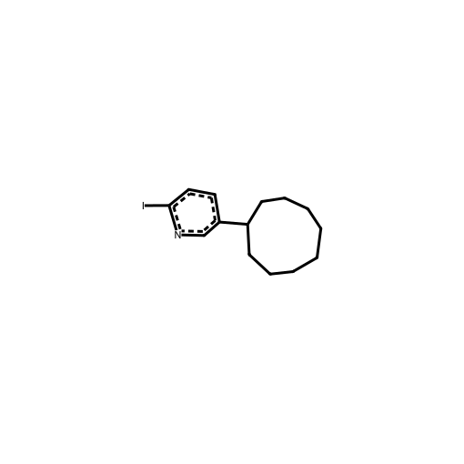 Ic1ccc(C2CCCCCCCC2)cn1